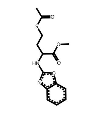 COC(=O)C(CCSC(C)=O)Nc1nc2ccccc2o1